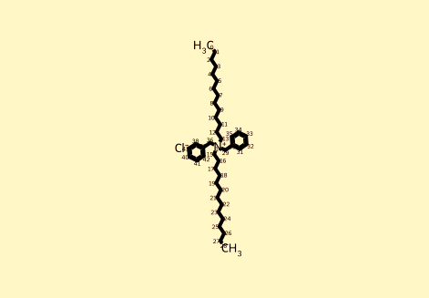 CCCCCCCCCCCCCC[N+](CCCCCCCCCCCCCC)(Cc1ccccc1)Cc1ccccc1.[Cl-]